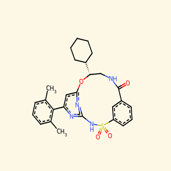 Cc1cccc(C)c1-c1cc2nc(n1)NS(=O)(=O)c1cccc(c1)C(=O)NC[C@@H](C1CCCCC1)O2